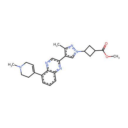 COC(=O)C1CC(n2cc(-c3cnc4c(C5=CCN(C)CC5)cccc4n3)c(C)n2)C1